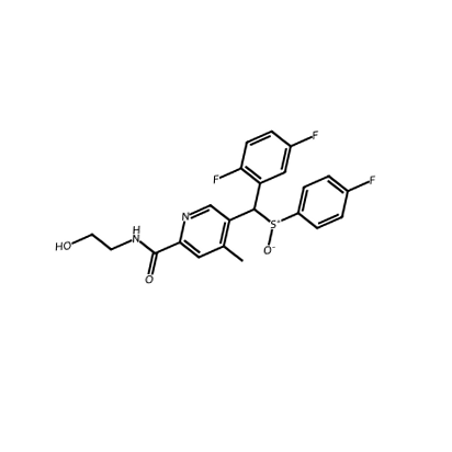 Cc1cc(C(=O)NCCO)ncc1C(c1cc(F)ccc1F)[S+]([O-])c1ccc(F)cc1